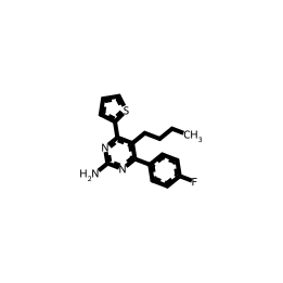 CCCCc1c(-c2ccc(F)cc2)nc(N)nc1-c1cccs1